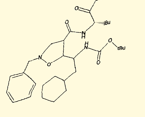 CCC(C)[C@H](NC(=O)C1CN(Cc2ccccc2)OC1C(CC1CCCCC1)NC(=O)OC(C)(C)C)C(=O)OC